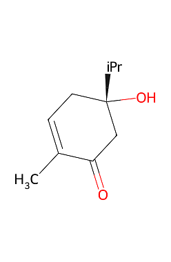 CC1=CC[C@@](O)(C(C)C)CC1=O